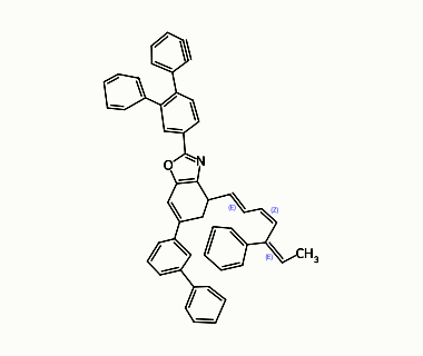 C\C=C(/C=C\C=C\C1CC(c2cccc(-c3ccccc3)c2)=Cc2oc(-c3ccc(-c4c#cccc4)c(-c4ccccc4)c3)nc21)c1ccccc1